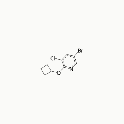 Clc1cc(Br)cnc1OC1CCC1